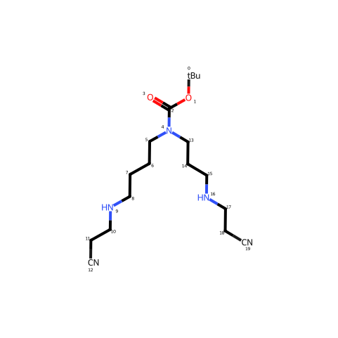 CC(C)(C)OC(=O)N(CCCCNCCC#N)CCCNCCC#N